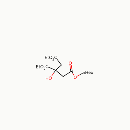 CCCCCCOC(=O)CC(O)(CC(=O)OCC)C(=O)OCC